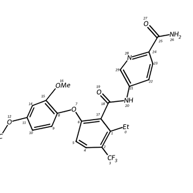 CCc1c(C(F)(F)F)ccc(Oc2ccc(OC(F)(F)F)cc2OC)c1C(=O)Nc1ccc(C(N)=O)nc1